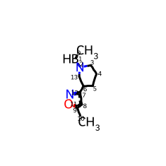 CBN1CCCC(c2cc(C)on2)C1